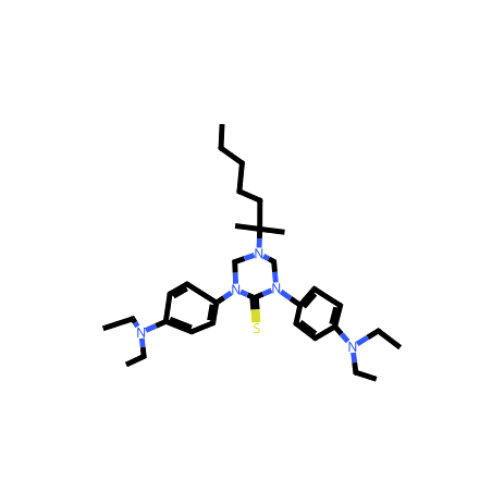 CCCCCC(C)(C)N1CN(c2ccc(N(CC)CC)cc2)C(=S)N(c2ccc(N(CC)CC)cc2)C1